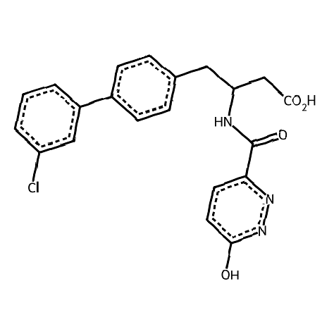 O=C(O)CC(Cc1ccc(-c2cccc(Cl)c2)cc1)NC(=O)c1ccc(O)nn1